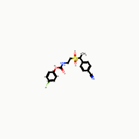 CC(c1ccc(C#N)cc1)S(=O)(=O)CCNC(=O)Oc1ccc(F)cc1